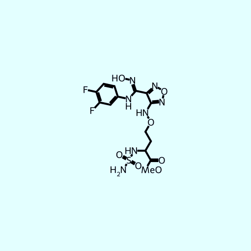 COC(=O)C(CCONc1nonc1/C(=N/O)Nc1ccc(F)c(F)c1)NS(N)(=O)=O